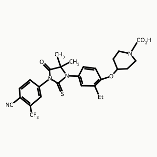 CCc1cc(N2C(=S)N(c3ccc(C#N)c(C(F)(F)F)c3)C(=O)C2(C)C)ccc1OC1CCN(C(=O)O)CC1